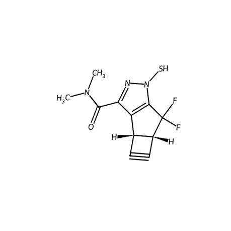 CN(C)C(=O)c1nn(S)c2c1[C@H]1C#C[C@H]1C2(F)F